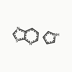 c1cc[nH]c1.c1cnc2scnc2c1